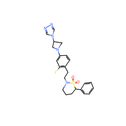 O=S1(=O)C(c2ccccc2)CCCN1CCc1ccc(N2CC(n3cnnc3)C2)cc1F